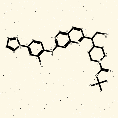 CC(C)(C)OC(=O)N1CCC(C(CO)c2ccc3cnc(Nc4ccc(-n5cccn5)cc4F)cc3n2)CC1